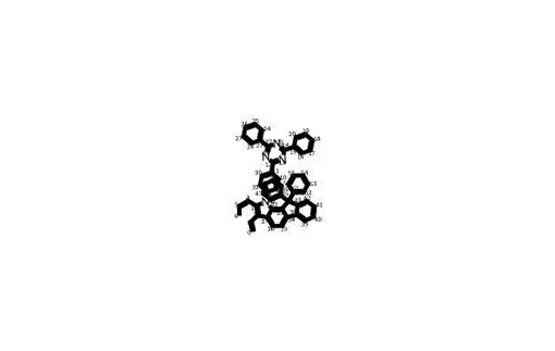 C=Cc1c(/C=C\C)n(-c2ccc(-c3nc(-c4ccccc4)nc(-c4ccccc4)n3)cc2)c2c3c(ccc12)-c1ccccc1C3(c1ccccc1)c1ccccc1